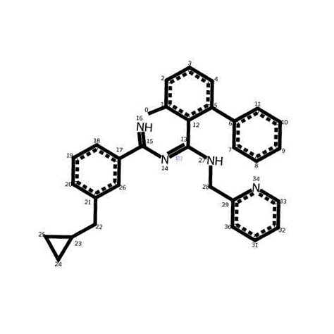 Cc1cccc(-c2ccccc2)c1/C(=N\C(=N)c1cccc(CC2CC2)c1)NCc1ccccn1